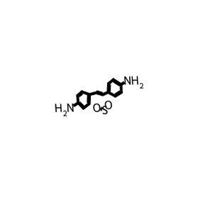 Nc1ccc(C=Cc2ccc(N)cc2)cc1.O=S=O